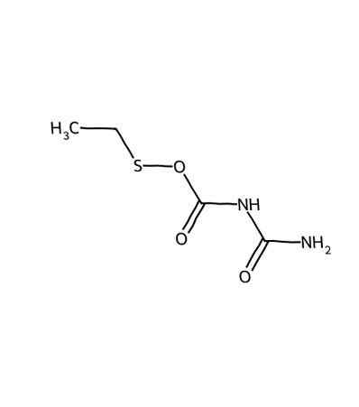 CCSOC(=O)NC(N)=O